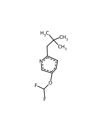 CC(C)(C)Cc1ccc(OC(F)F)cn1